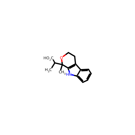 CC(C(=O)O)C1(C)OCCc2c1[nH]c1ccccc21